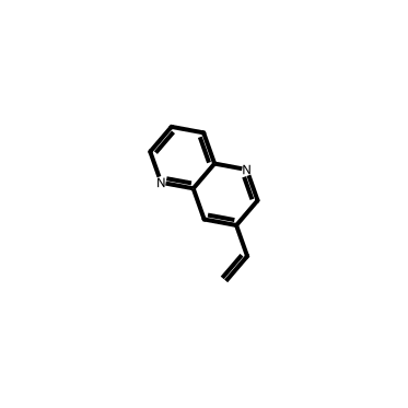 C=Cc1cnc2cccnc2c1